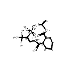 CC(C)OC(=O)C1CCCCC1C(=O)OCC(C(F)(F)F)S(=O)(=O)O